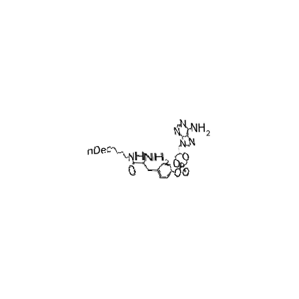 CCCCCCCCCCCCCCNC(=O)[C@@H](N)Cc1ccc(OP2(=O)CO[C@@H](Cn3cnc4c(N)ncnc43)CO2)cc1